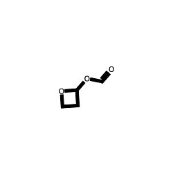 O=[C]OC1CCO1